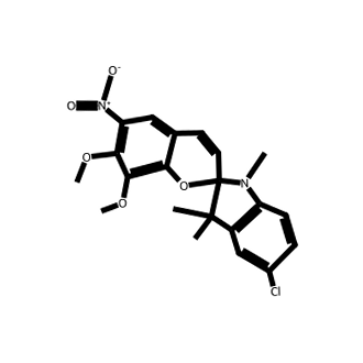 COc1c([N+](=O)[O-])cc2c(c1OC)OC1(C=C2)N(C)c2ccc(Cl)cc2C1(C)C